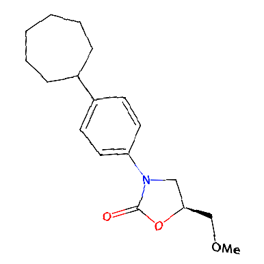 COC[C@@H]1CN(c2ccc(C3CCCCCC3)cc2)C(=O)O1